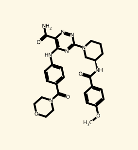 COc1ccc(C(=O)N[C@@H]2CCCN(c3nnc(C(N)=O)c(Nc4ccc(C(=O)N5CCOCC5)cc4)n3)C2)cc1